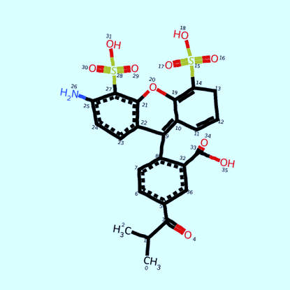 CC(C)C(=O)c1ccc(C2=C3C=CCC(S(=O)(=O)O)=C3Oc3c2ccc(N)c3S(=O)(=O)O)c(C(=O)O)c1